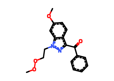 COOCCn1nc(C(=O)c2ccccc2)c2ccc(OC)cc21